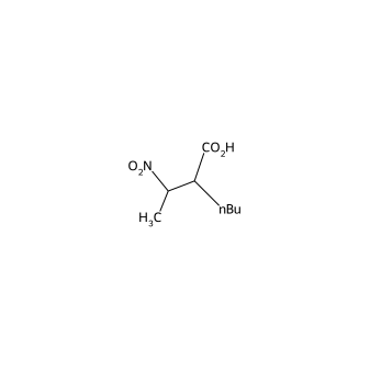 CCCCC(C(=O)O)C(C)[N+](=O)[O-]